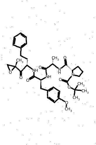 COc1ccc(C[C@H](NC(=O)[C@H](C)NC(=O)[C@@H]2CCCN2C(=O)OC(C)(C)C)C(=O)N[C@@H](CCc2ccccc2)C(=O)[C@@]2(C)CO2)cc1